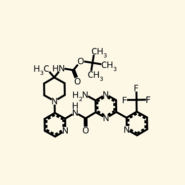 CC1(NC(=O)OC(C)(C)C)CCN(c2cccnc2NC(=O)c2nc(-c3ncccc3C(F)(F)F)cnc2N)CC1